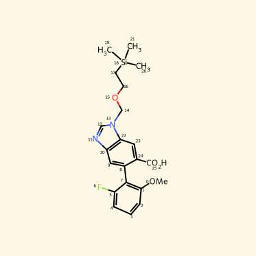 COc1cccc(F)c1-c1cc2ncn(COCC[Si](C)(C)C)c2cc1C(=O)O